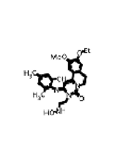 CCOc1cc2c(cc1OC)-c1c/c(=N\c3c(C)cc(C)cc3C)n(CCNO)c(=O)n1CC2